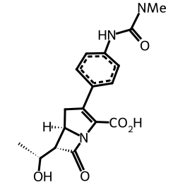 CNC(=O)Nc1ccc(C2=C(C(=O)O)N3C(=O)[C@H]([C@@H](C)O)[C@H]3C2)cc1